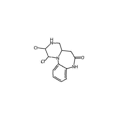 O=C1CC2CNC(Cl)C(Cl)N2c2ccccc2N1